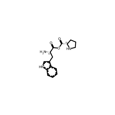 N[C@@H](Cc1c[nH]c2ccccc12)C(=O)OC(=O)[C@@H]1CCCN1